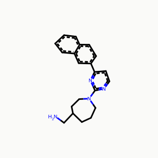 NCC1CCCN(c2nccc(-c3ccc4ccccc4c3)n2)CC1